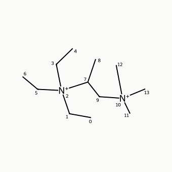 CC[N+](CC)(CC)C(C)C[N+](C)(C)C